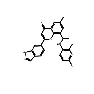 Cc1cc(C(C)Nc2ccc(Cl)nc2C)c2oc(-c3ccc4cn[nH]c4c3)cc(=O)c2c1